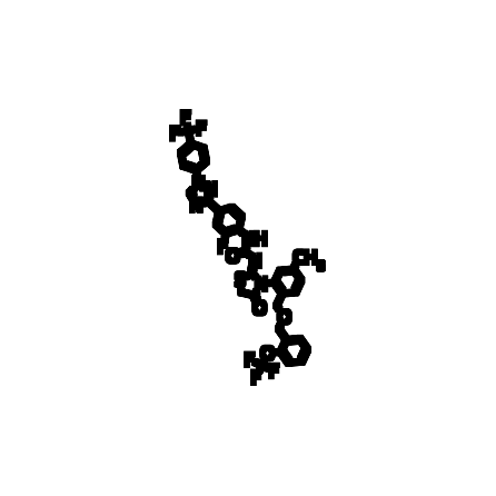 Cc1ccc(COCc2ccccc2OC(F)(F)F)c(N2C(=O)CS/C2=N\C(=O)Nc2ccc(-c3ncn(-c4ccc(C(F)(F)F)cc4)n3)cc2F)c1